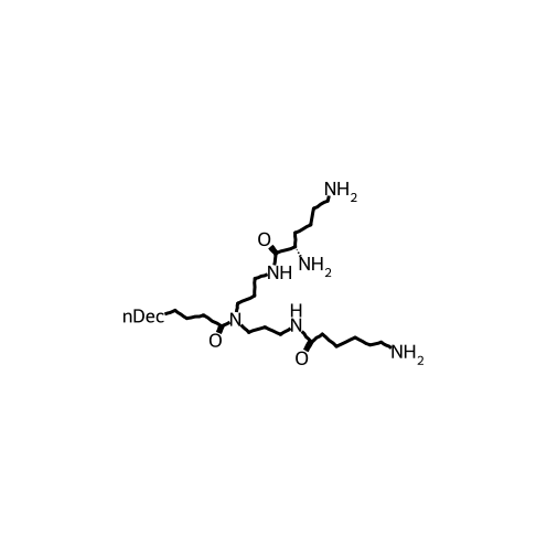 CCCCCCCCCCCCCC(=O)N(CCCNC(=O)CCCCCN)CCCNC(=O)[C@@H](N)CCCCN